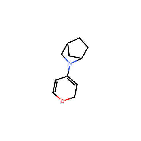 C1=CC(N2CC3CCC2C3)=CCO1